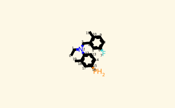 CCN(Cc1cc(F)ccc1C)c1ccc(P)cc1C